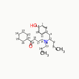 CCCC(Cc1ccc(O)cc1)N(CCC)CCCC(=O)C1CCCCC1